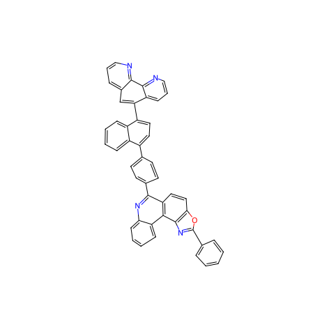 c1ccc(-c2nc3c(ccc4c(-c5ccc(-c6ccc(-c7cc8cccnc8c8ncccc78)c7ccccc67)cc5)nc5ccccc5c43)o2)cc1